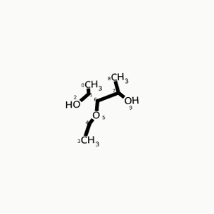 CCO.CCOCC(C)O